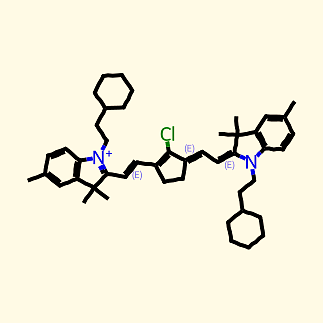 Cc1ccc2c(c1)C(C)(C)C(/C=C/C1=C(Cl)C(=C/C=C3/N(CCC4CCCCC4)c4ccc(C)cc4C3(C)C)/CC1)=[N+]2CCC1CCCCC1